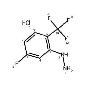 Cl.NNc1cc(F)ccc1C(F)(F)F